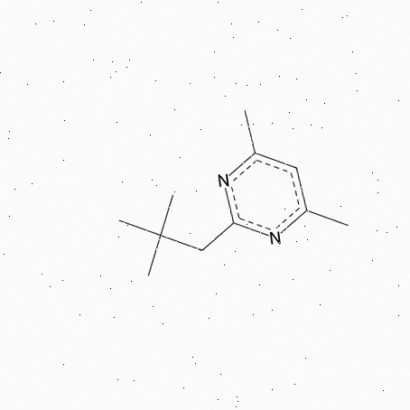 Cc1cc(C)nc(CC(C)(C)C)n1